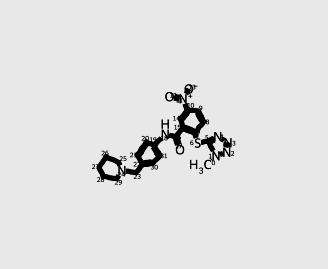 Cn1nnnc1Sc1ccc([N+](=O)[O-])cc1C(=O)Nc1ccc(CN2CCCCC2)cc1